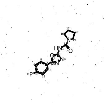 O=C(Nc1nnc(-c2ccc(F)cc2)o1)N1CCCC1